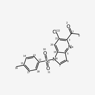 CC(=O)c1nc2ccn(S(=O)(=O)c3ccc(C)cc3)c2cc1Cl